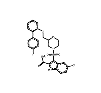 NC(=O)c1[nH]c2ccc(Cl)cc2c1S(=O)(=O)N1CCOC(COc2ccccc2-c2ccc(F)nc2)C1